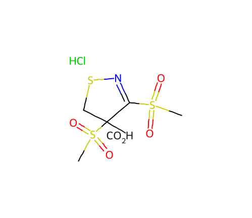 CS(=O)(=O)C1=NSCC1(C(=O)O)S(C)(=O)=O.Cl